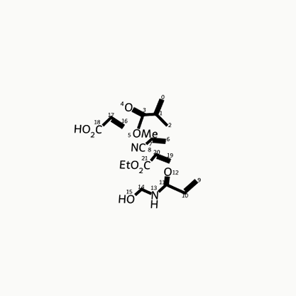 C=C(C)C(=O)OC.C=CC#N.C=CC(=O)NCO.C=CC(=O)O.C=CC(=O)OCC